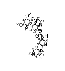 COc1cc(OC)c(F)c(-c2ccc(OC(=O)Nc3ccc(CN4CCN(C)CC4(C)C)nc3)c3nccnc23)c1F